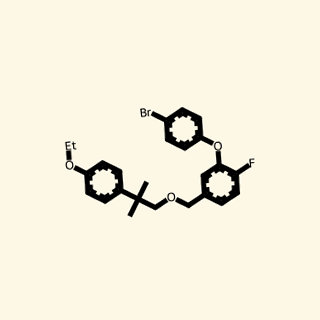 CCOc1ccc(C(C)(C)COCc2ccc(F)c(Oc3ccc(Br)cc3)c2)cc1